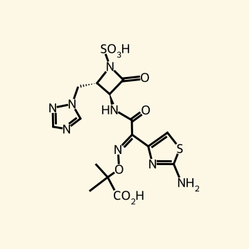 CC(C)(ON=C(C(=O)N[C@@H]1C(=O)N(S(=O)(=O)O)[C@H]1Cn1cncn1)c1csc(N)n1)C(=O)O